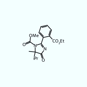 CCOC(=O)c1ccccc1C1=NC(=O)C(C)(C(C)C)N1C(=O)OC